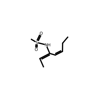 C/C=C(\C=C/CC)NS(C)(=O)=O